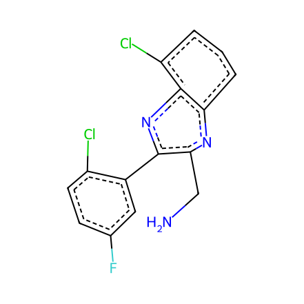 NCc1nc2cccc(Cl)c2nc1-c1cc(F)ccc1Cl